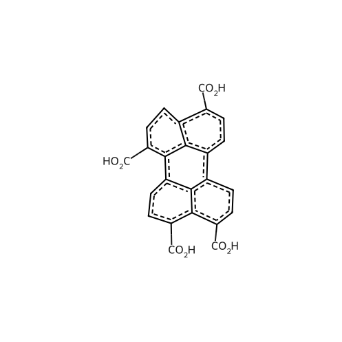 O=C(O)c1ccc2c3ccc(C(=O)O)c4c(C(=O)O)ccc(c5c(C(=O)O)ccc1c25)c43